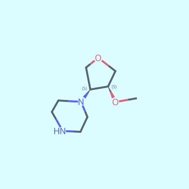 CO[C@@H]1COC[C@@H]1N1CCNCC1